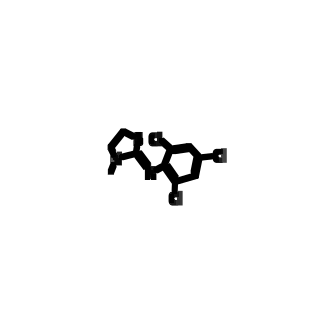 CN1CCSC1=Nc1c(Cl)cc(Cl)cc1Cl